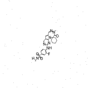 CN1N=Cc2cc3cnc(Nc4ccc(S(N)(=O)=O)cc4F)nc3n2C2(CCCCC2)C1=O